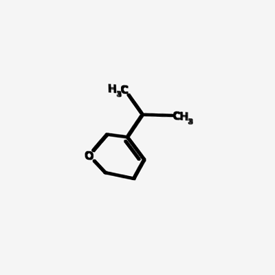 CC(C)C1=CCCOC1